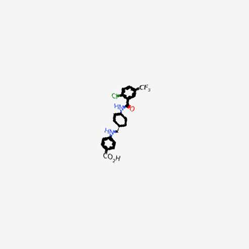 O=C(O)c1ccc(NC[C@H]2CC[C@H](NC(=O)c3cc(C(F)(F)F)ccc3Cl)CC2)cc1